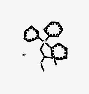 COC(C[P+](c1ccccc1)(c1ccccc1)c1ccccc1)OC.[Br-]